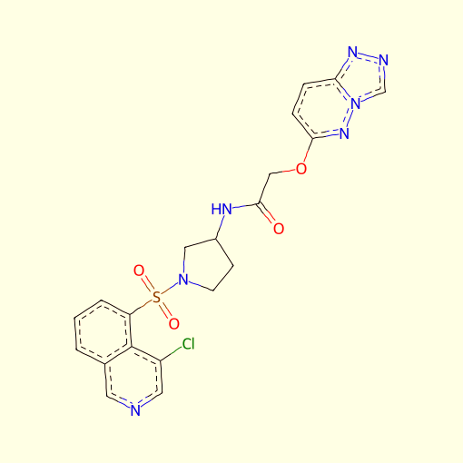 O=C(COc1ccc2nncn2n1)NC1CCN(S(=O)(=O)c2cccc3cncc(Cl)c23)C1